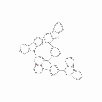 c1ccc(-c2ccc(-c3cc4ccccc4c4ccccc34)cc2N(c2cccc(-c3cccc4c3sc3ccccc34)c2)c2cccc(-n3c4ccccc4c4ccccc43)c2)cc1